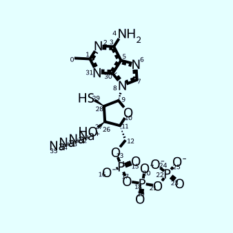 Cc1nc(N)c2ncn([C@@H]3O[C@H](COP(=O)([O-])OP(=O)([O-])OP(=O)([O-])[O-])[C@@H](O)[C@H]3S)c2n1.[Na+].[Na+].[Na+].[Na+]